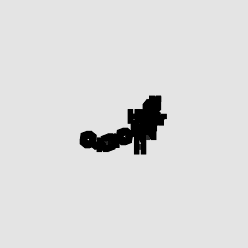 CN1CCC(Nc2c(Br)cnc3[nH]c(-c4ccc(N5CCN(Cc6ccccc6)CC5)cc4)nc23)CC1